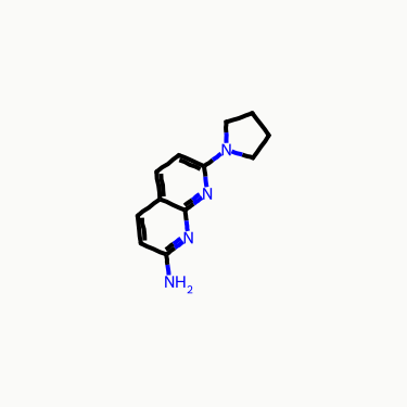 Nc1ccc2ccc(N3CCCC3)nc2n1